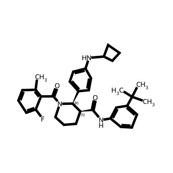 Cc1cccc(F)c1C(=O)N1CCC[C@H](C(=O)Nc2cccc(C(C)(C)C)c2)[C@@H]1c1ccc(NC2CCC2)cc1